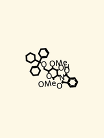 COC1OC(COC(C2=CC=CCC2)(C2=CCCCC2)C2CCCCC2)C(OC)C(O)C1N1C(=O)c2ccccc2C1=O